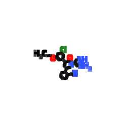 CCCOc1cc(Cl)cc(-c2cc(-c3ccccc3C#N)cn(/C(C=N)=C/N)c2=O)c1